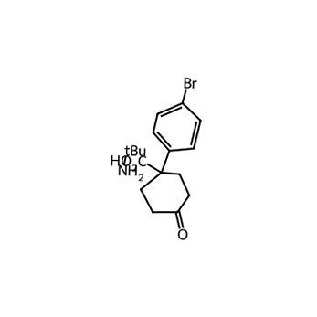 CC(C)(C)N.O=C1CCC(C(=O)O)(c2ccc(Br)cc2)CC1